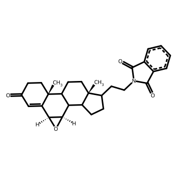 C[C@]12CCC3C(C1CCC2CCN1C(=O)c2ccccc2C1=O)[C@H]1O[C@H]1C1=CC(=O)CC[C@@]13C